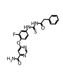 NC(=O)c1cc(Oc2ccc(NC(=S)NC(=O)Cc3ccccc3)cc2F)ncn1